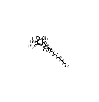 CC(=O)CCCCCCCCCCCCC[C@H](CC(=O)O)OC1OC(C)C(O)C(O)C1O